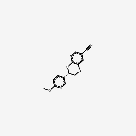 COc1ccc([C@H]2COc3cc(C#N)cnc3O2)cn1